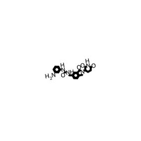 Nc1cccc(NC(=O)NCc2ccc3c(c2)C(=O)N(C2CCC(=O)NC2=O)C3)c1